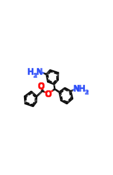 Nc1cccc(C(OC(=O)c2ccccc2)c2cccc(N)c2)c1